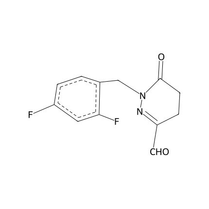 O=CC1=NN(Cc2ccc(F)cc2F)C(=O)CC1